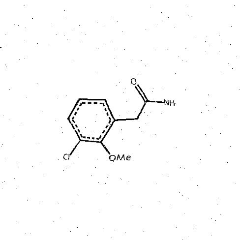 COc1c(Cl)cccc1CC([NH])=O